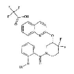 CCOc1ccccc1C(=O)N1CCC(F)(F)C(Oc2ccc3ccccc3n2)C1.O=C(O)C(F)(F)F